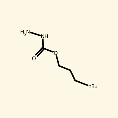 CCCCCCCOC(=O)NN